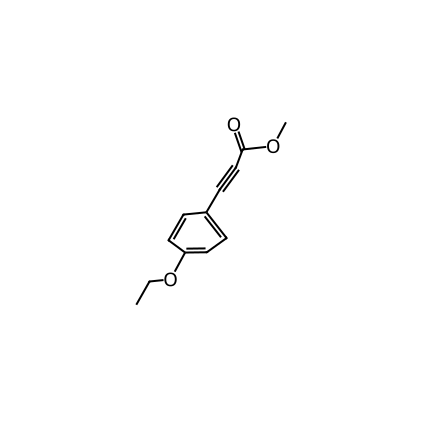 CCOc1ccc(C#CC(=O)OC)cc1